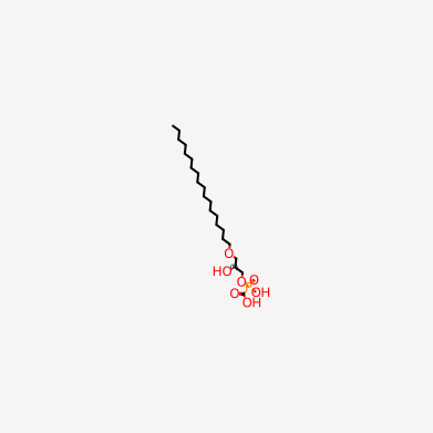 CCCCCCCCCCCCCCCCCCOC[C@@H](O)COP(=O)(O)C(=O)O